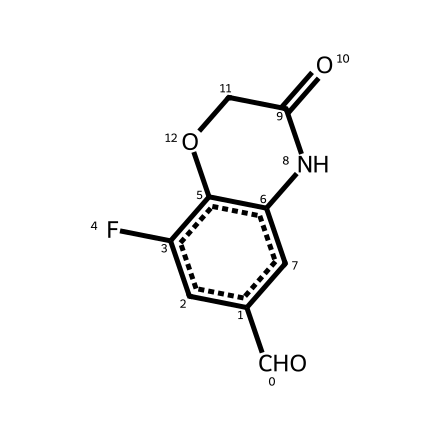 O=Cc1cc(F)c2c(c1)NC(=O)CO2